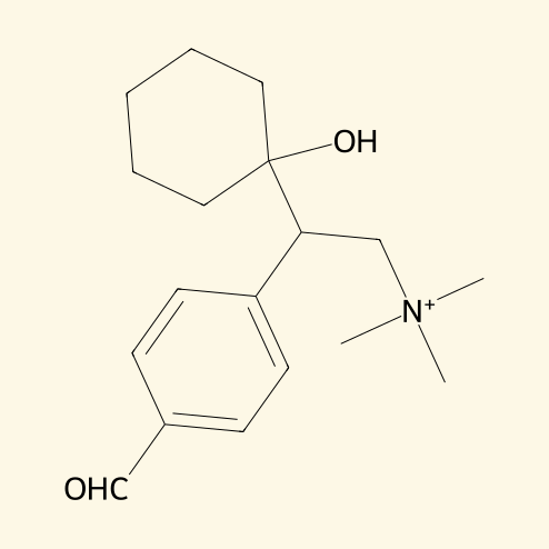 C[N+](C)(C)CC(c1ccc(C=O)cc1)C1(O)CCCCC1